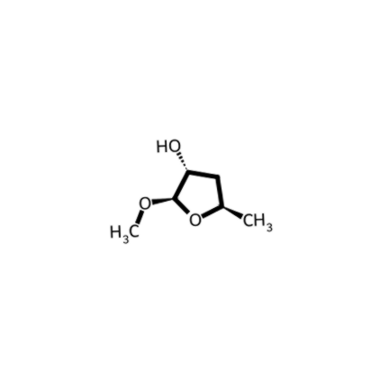 CO[C@@H]1O[C@H](C)C[C@H]1O